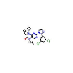 CCC1C(=O)N(C)c2cnc(-n3ccnc3-c3cc(Cl)cc(Cl)c3)nc2N1C1CCC1